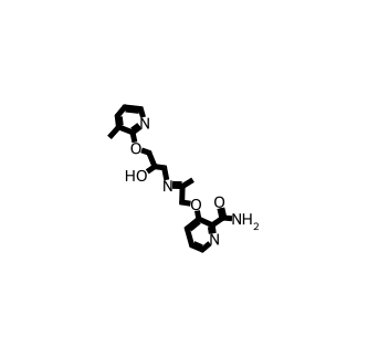 C/C(COc1cccnc1C(N)=O)=N\CC(O)COc1ncccc1C